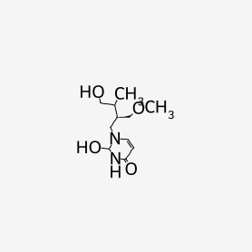 COC[C@@H](CN1C=CC(=O)NC1O)C(C)CO